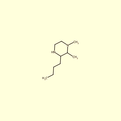 CCCCC1NCCN(C)C1C